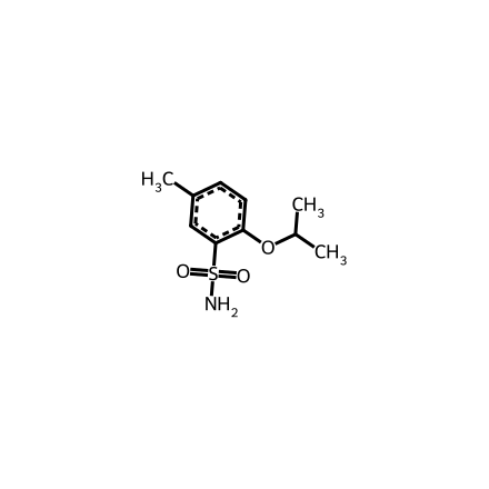 Cc1ccc(OC(C)C)c(S(N)(=O)=O)c1